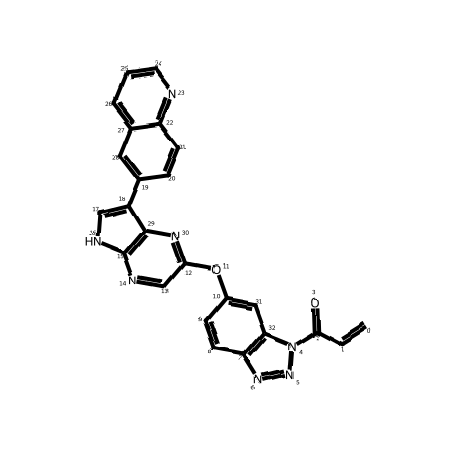 C=CC(=O)n1nnc2ccc(Oc3cnc4[nH]cc(-c5ccc6ncccc6c5)c4n3)cc21